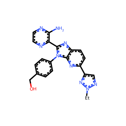 CCn1ncc(-c2ccc3nc(-c4nccnc4N)n(-c4ccc(CO)cc4)c3n2)n1